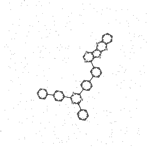 c1ccc(-c2ccc(-c3nc(-c4ccccc4)nc(-c4ccc(-c5cccc(-c6ncnc7c6sc6nc8ccccc8nc67)c5)cc4)n3)cc2)cc1